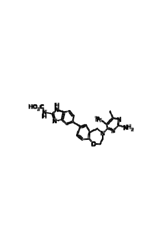 Cc1nc(N)nc(N2CCOc3ccc(-c4ccc5[nH]c(NC(=O)O)nc5c4)cc3C2)c1C(C)C